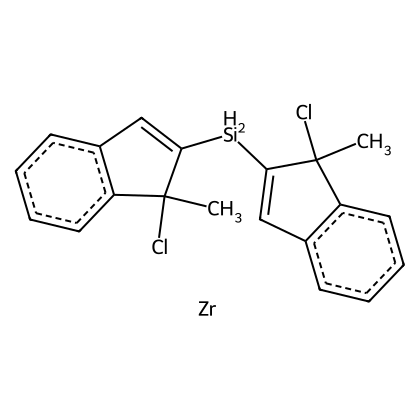 CC1(Cl)C([SiH2]C2=Cc3ccccc3C2(C)Cl)=Cc2ccccc21.[Zr]